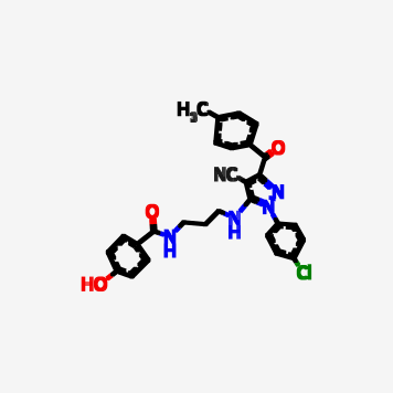 Cc1ccc(C(=O)c2nn(-c3ccc(Cl)cc3)c(NCCCNC(=O)c3ccc(O)cc3)c2C#N)cc1